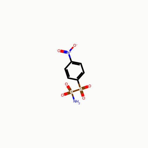 NS(=O)(=O)S(=O)(=O)c1ccc([N+](=O)[O-])cc1